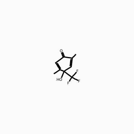 CC1=CC(O)(C(F)(F)F)C(C)=CC1=O